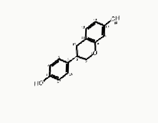 Oc1ccc([C@@H]2COc3cc(O)ccc3C2)cc1